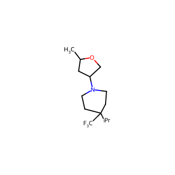 CC1CC(N2CCC(C(C)C)(C(F)(F)F)CC2)CO1